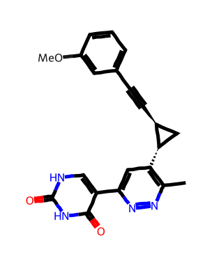 COc1cccc(C#C[C@H]2C[C@@H]2c2cc(-c3c[nH]c(=O)[nH]c3=O)nnc2C)c1